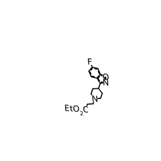 CCOC(=O)CCN1CCC(c2noc3cc(F)ccc23)CC1